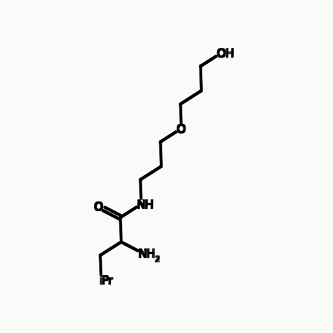 CC(C)CC(N)C(=O)NCCCOCCCO